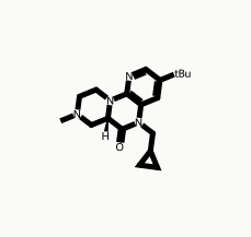 CN1CCN2c3ncc(C(C)(C)C)cc3N(CC3CC3)C(=O)[C@@H]2C1